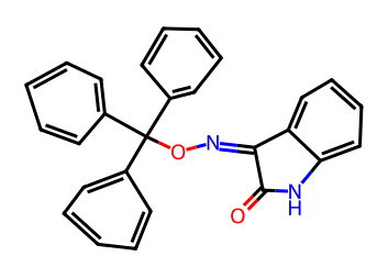 O=C1Nc2ccccc2/C1=N/OC(c1ccccc1)(c1ccccc1)c1ccccc1